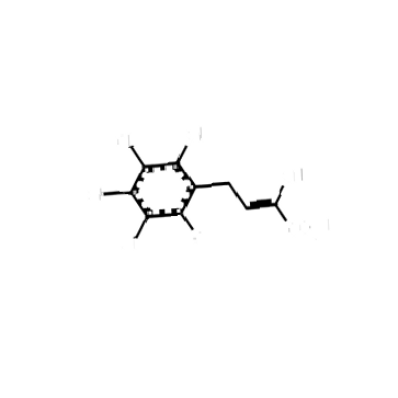 CC(=CCc1c(Cl)c(Cl)c(Cl)c(Cl)c1Cl)C(=O)O